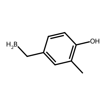 BCc1ccc(O)c(C)c1